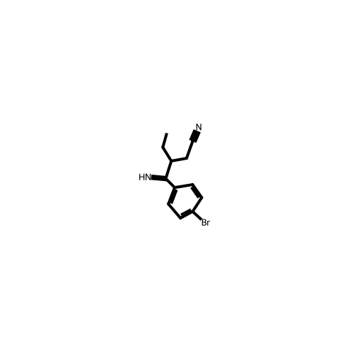 CCC(CC#N)C(=N)c1ccc(Br)cc1